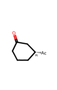 CC(=O)[C@@H]1CCCC(=O)C1